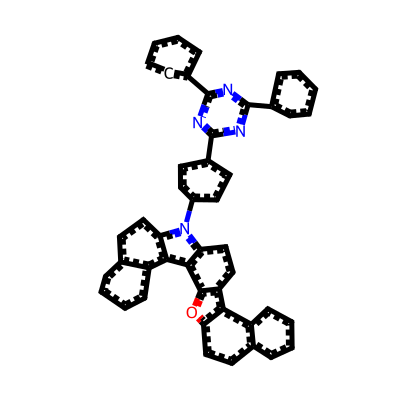 c1ccc(-c2nc(-c3ccccc3)nc(-c3ccc(-n4c5ccc6ccccc6c5c5c6oc7ccc8ccccc8c7c6ccc54)cc3)n2)cc1